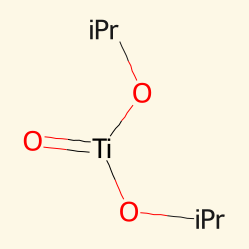 CC(C)[O][Ti](=[O])[O]C(C)C